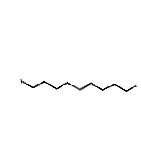 ICCCCCCCCCI